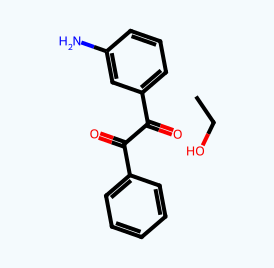 CCO.Nc1cccc(C(=O)C(=O)c2ccccc2)c1